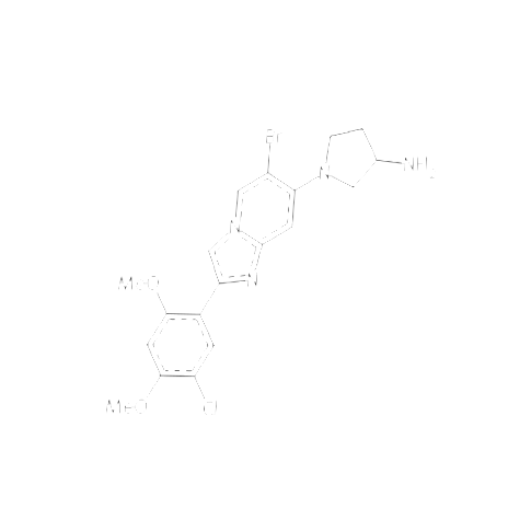 COc1cc(OC)c(-c2cn3cc(Br)c(N4CCC(N)C4)cc3n2)cc1Cl